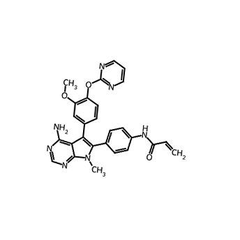 C=CC(=O)Nc1ccc(-c2c(-c3ccc(Oc4ncccn4)c(OC)c3)c3c(N)ncnc3n2C)cc1